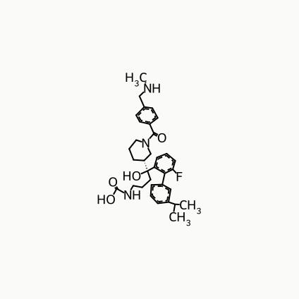 CNCc1ccc(C(=O)N2CCC[C@@H](C(O)(CCCNC(=O)O)c3cccc(F)c3-c3cccc(C(C)C)c3)C2)cc1